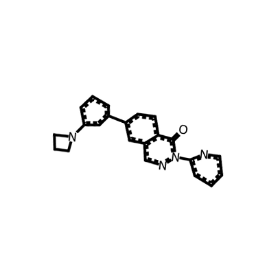 O=c1c2ccc(-c3cccc(N4CCC4)c3)cc2cnn1-c1ccccn1